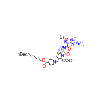 CCCCCCCCCCCCCCCCOC(=O)c1cc[n+](CC2=C(C(=O)[O-])N3C(=O)C(NC(=O)C(=NOCC)c4nsc(N)n4)[C@@H]3SC2)cc1